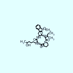 CCC(C)[C@@H]1NC(=O)[C@H](Cc2cn(OC)c3ccccc23)NC(=O)[C@H](CCCCC(C)O)NC(=O)[C@H]2CCCCN2C1=O